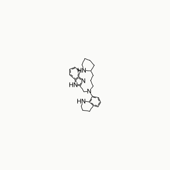 c1cc2c(c(N(CCCC3CCCCN3)Cc3nc4ccccc4[nH]3)c1)NCCC2